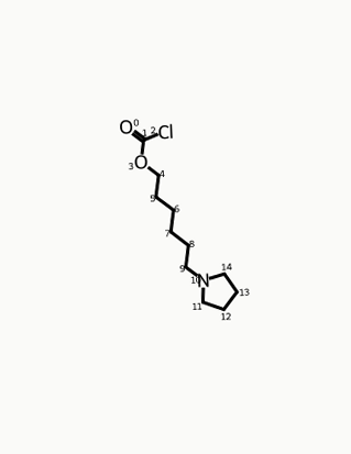 O=C(Cl)OCCCCCCN1CCCC1